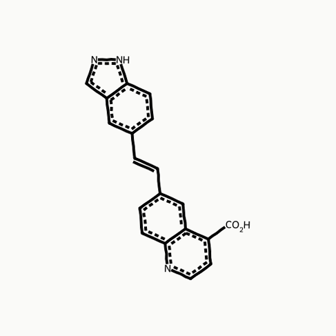 O=C(O)c1ccnc2ccc(/C=C/c3ccc4[nH]ncc4c3)cc12